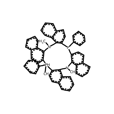 CN1c2c(ccc3ccccc23)P(c2ccccc2)c2ccc3ccccc3c2N(C)c2c(ccc3ccccc23)[PH](C)(c2ccccc2)c2ccc3ccccc3c21